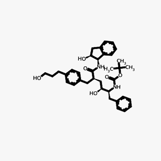 CC(C)(C)OC(=O)N[C@@H](Cc1ccccc1)[C@@H](O)C[C@@H](Cc1ccc(CCCO)cc1)C(=O)N[C@@H]1c2ccccc2C[C@@H]1O